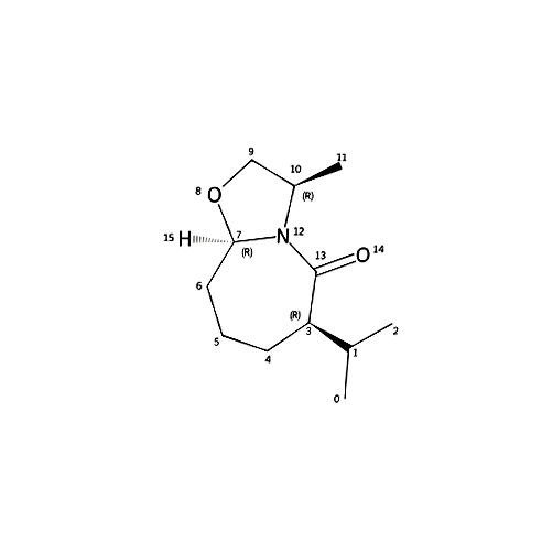 CC(C)[C@H]1CCC[C@H]2OC[C@@H](C)N2C1=O